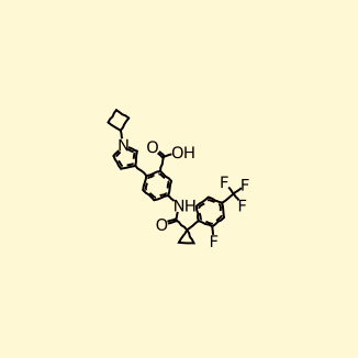 O=C(O)c1cc(NC(=O)C2(c3ccc(C(F)(F)F)cc3F)CC2)ccc1-c1ccn(C2CCC2)c1